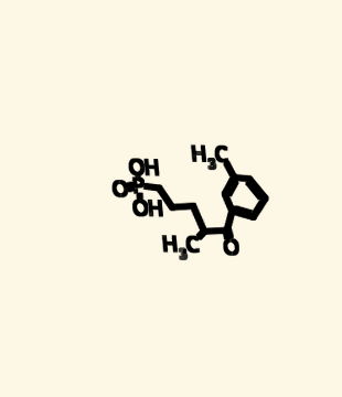 Cc1cccc(C(=O)C(C)CCCP(=O)(O)O)c1